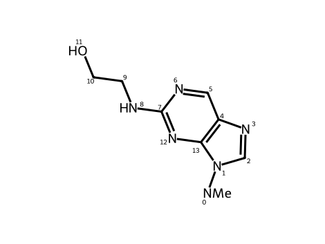 CNn1cnc2cnc(NCCO)nc21